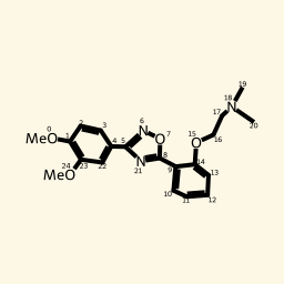 COc1ccc(-c2noc(-c3ccccc3OCCN(C)C)n2)cc1OC